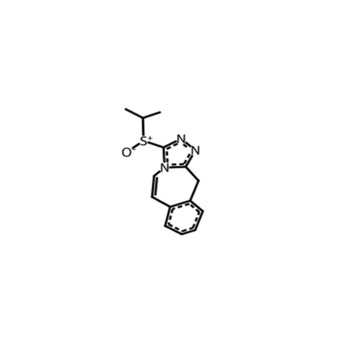 CC(C)[S+]([O-])c1nnc2n1C=Cc1ccccc1C2